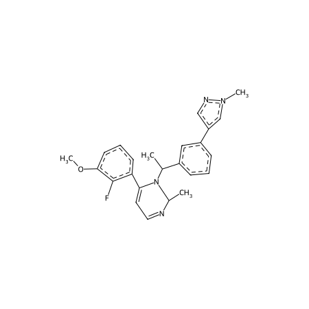 COc1cccc(C2=CC=NC(C)N2C(C)c2cccc(-c3cnn(C)c3)c2)c1F